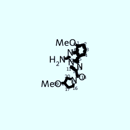 COc1cccc2c1nc(N)n1cc(C(=O)N3CCC(OC)C3)nc21